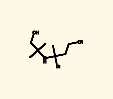 CCC(C)(CCC#N)NC(C)(C)CO